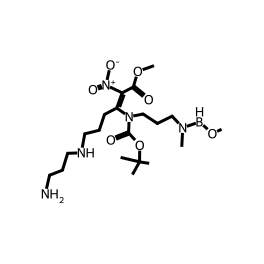 COBN(C)CCCN(C(=O)OC(C)(C)C)/C(CCCNCCCN)=C(\C(=O)OC)[N+](=O)[O-]